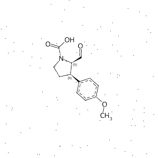 COc1ccc([C@H]2CCN(C(=O)O)[C@H]2C=O)cc1